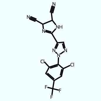 N#CC1N=C(c2cnn(-c3c(Cl)cc(C(F)(F)F)cc3Cl)n2)NC1C#N